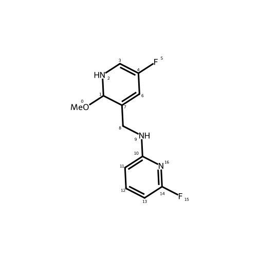 COC1NC=C(F)C=C1CNc1cccc(F)n1